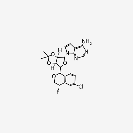 CC1(C)O[C@@H]2[C@H](O1)C([C@@H]1OC[C@@H](F)c3cc(Cl)ccc31)O[C@H]2n1ccc2c(N)ncnc21